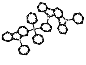 c1ccc(-n2c3ccccc3c3ccc([Si](c4ccccc4)(c4ccccc4)c4cccc(-n5c6ccccc6c6ccc7c(c8ccccc8n7-c7ccccc7)c65)c4)cc32)cc1